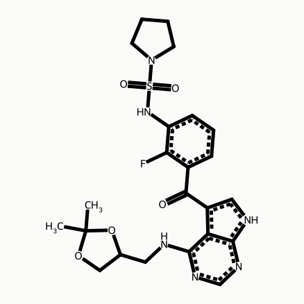 CC1(C)OCC(CNc2ncnc3[nH]cc(C(=O)c4cccc(NS(=O)(=O)N5CCCC5)c4F)c23)O1